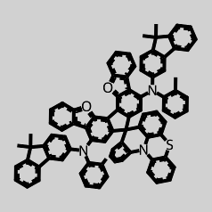 Cc1ccccc1N(c1ccc2c(c1)-c1ccccc1C2(C)C)c1cc2c(c3oc4ccccc4c13)-c1c(cc(N(c3ccc4c(c3)-c3ccccc3C4(C)C)c3ccccc3C)c3c1oc1ccccc13)C21c2ccccc2N2c3ccccc3Sc3cccc1c32